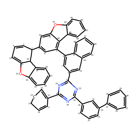 C1=CC(c2cc(-c3cc(-c4nc(C5=CCCC=C5)nc(-c5cccc(-c6ccccc6)c5)n4)cc4ccccc34)c3c(c2)oc2ccccc23)C2C(=C1)Oc1ccccc12